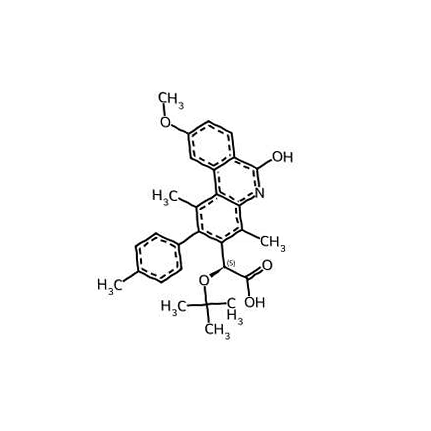 COc1ccc2c(O)nc3c(C)c([C@H](OC(C)(C)C)C(=O)O)c(-c4ccc(C)cc4)c(C)c3c2c1